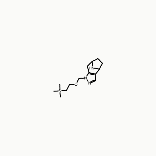 C[Si](C)(C)CCOCn1ncc2c1CC1CCC2N1